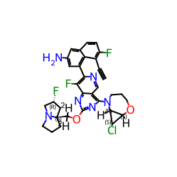 [2H]C([2H])(Oc1nc(N2CCCO[C@@H]3[C@@H](Cl)[C@@H]32)c2cnc(-c3cc(N)cc4ccc(F)c(C#C)c34)c(F)c2n1)[C@@]12CCCN1C[C@H](F)C2